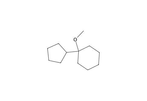 COC1(C2CCCC2)CCCCC1